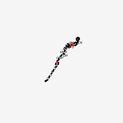 C#CCOCCOCCOCCOCCN1CCN(CCC(=O)NCCC[C@@H](CO)NC(=O)c2ncn(-c3ncc(OC)c4c(C(=O)C(=O)N5CCC(=C(C#N)c6ccccc6)CC5)c[nH]c34)n2)CC1